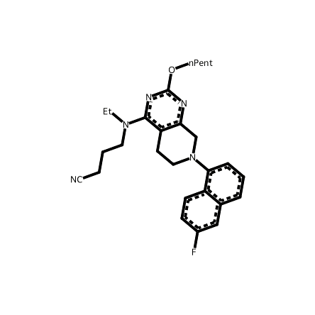 CCCCCOc1nc2c(c(N(CC)CCCC#N)n1)CCN(c1cccc3cc(F)ccc13)C2